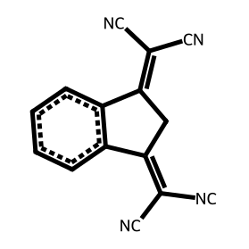 [C-]#[N+]C(C#N)=C1CC(=C(C#N)C#N)c2ccccc21